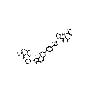 COC(=O)N[C@H](C(=O)N1CCC[C@H]1c1ncc(-c2ccc(-c3ccc4c(ccc5nc([C@@H]6SCCN6C(=O)[C@@H](NC(=O)OC)C(C)C)[nH]c54)c3)cc2)[nH]1)C(C)C